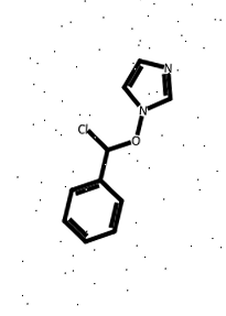 ClC(On1ccnc1)c1ccccc1